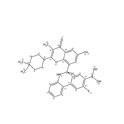 Cc1cc([C@@H](C)Nc2ccccc2-c2ccc(B(O)O)c(F)c2)c2oc(N3CCC(C)(C)CC3)c(C)c(=O)c2c1